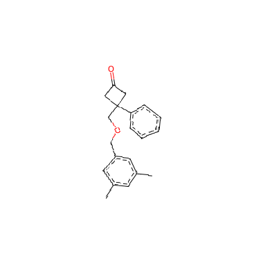 Cc1cc(C)cc(COCC2(c3ccccc3)CC(=O)C2)c1